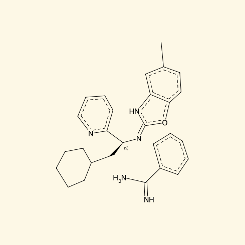 Cc1ccc2oc(=N[C@@H](CC3CCCCC3)c3ccccn3)[nH]c2c1.N=C(N)c1ccccc1